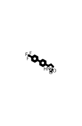 O=S1(=O)CCC(c2ccc(-c3ccc(C(F)(F)F)cc3)cc2)N1